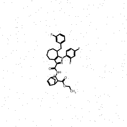 CCOC(=O)C1C2C=CC(C2)[C@H]1NC(=O)c1nn(-c2ccc(F)cc2F)c2c1CCCCC2Cc1cccc(F)c1